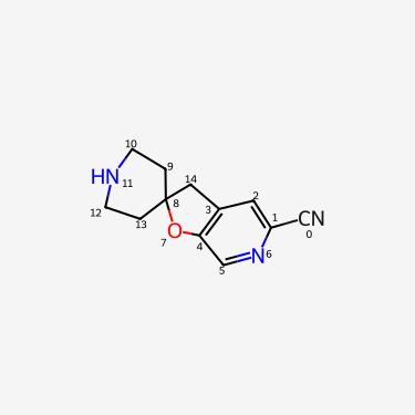 N#Cc1cc2c(cn1)OC1(CCNCC1)C2